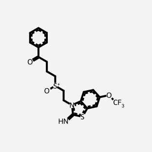 N=c1sc2cc(OC(F)(F)F)ccc2n1CC[S+]([O-])CCCC(=O)c1ccccc1